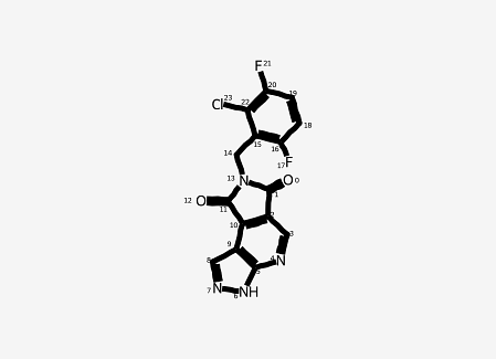 O=C1c2cnc3[nH]ncc3c2C(=O)N1Cc1c(F)ccc(F)c1Cl